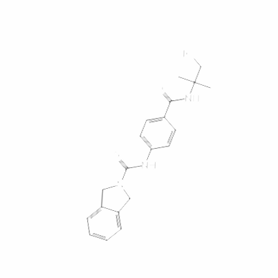 CC(C)(CO)NC(=O)c1ccc(NC(=O)N2Cc3ccccc3C2)cc1